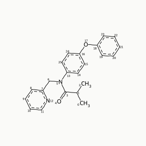 CC(C)C(=O)N(Cc1ccccn1)c1ccc(Oc2ccccc2)cc1